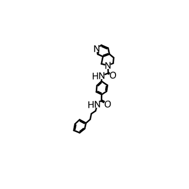 O=C(NCCCc1ccccc1)c1ccc(NC(=O)N2CCc3ccncc3C2)cc1